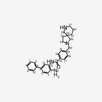 Nc1ccc(-c2ccccc2)cc1NC(=O)c1ccc(CN2CCC3(CCCNC3)C2)cc1